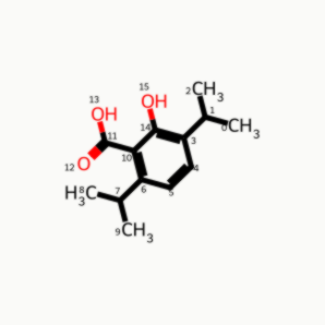 CC(C)c1ccc(C(C)C)c(C(=O)O)c1O